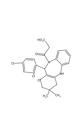 CC1(C)CC(=O)C2=C(C1)Nc1ccccc1N(C(=O)CC(=O)O)C2c1ccc(Cl)cc1Cl